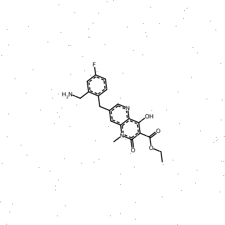 CCOC(=O)c1c(O)c2ncc(Cc3ccc(F)cc3CN)cc2n(C)c1=O